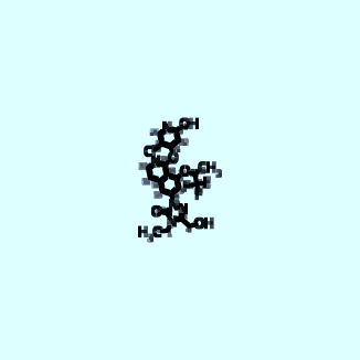 CCn1c(CO)nn(-c2cc(O[C@@H](C)C(F)(F)F)c3c(Oc4cc(O)ncc4Cl)nccc3c2)c1=O